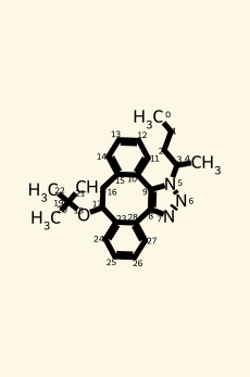 CCCC(C)n1nnc2c1-c1ccccc1CC(OC(C)(C)C)c1ccccc1-2